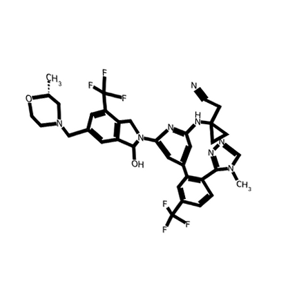 C[C@@H]1CN(Cc2cc3c(c(C(F)(F)F)c2)CN(c2cc(-c4cc(C(F)(F)F)ccc4-c4nncn4C)cc(NC4(CC#N)CC4)n2)C3O)CCO1